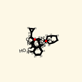 O=C(O)c1ccc2nc(N3C4CCC3CC(OCc3c(-c5c(F)cccc5F)noc3C3CC3)C4)sc2c1